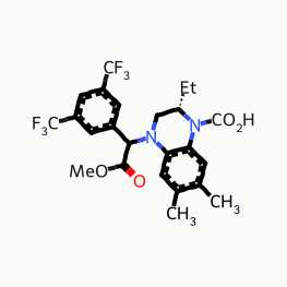 CC[C@H]1CN(C(C(=O)OC)c2cc(C(F)(F)F)cc(C(F)(F)F)c2)c2cc(C)c(C)cc2N1C(=O)O